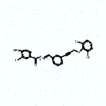 O=C(N/N=C/c1cccc(C#CCOc2c(Cl)cccc2Cl)c1)c1ccc(O)c(Cl)c1